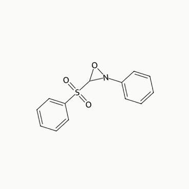 O=S(=O)(c1ccccc1)C1ON1c1ccccc1